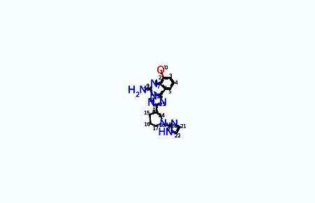 COc1cccc2c1nc(N)n1nc([C@@H]3CCCN(c4ncc[nH]4)C3)nc21